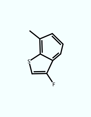 Cc1cccc2c(F)csc12